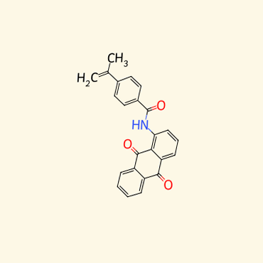 C=C(C)c1ccc(C(=O)Nc2cccc3c2C(=O)c2ccccc2C3=O)cc1